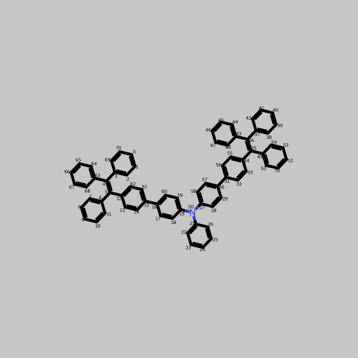 c1ccc(C(=C(c2ccccc2)c2ccc(-c3ccc(N(c4ccccc4)c4ccc(-c5ccc(C(=C(c6ccccc6)c6ccccc6)c6ccccc6)cc5)cc4)cc3)cc2)c2ccccc2)cc1